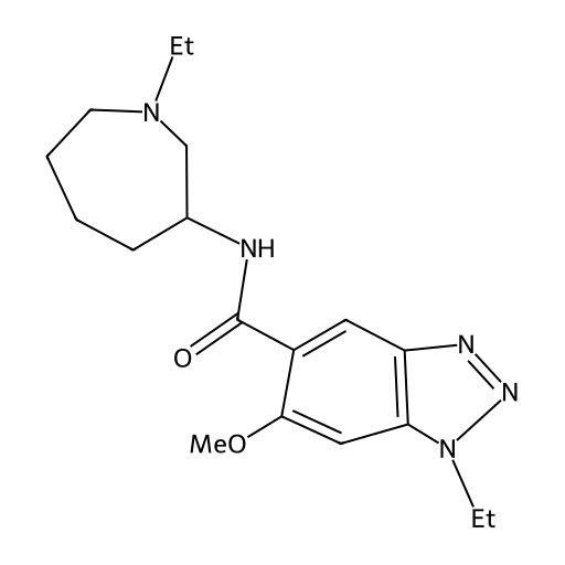 CCN1CCCCC(NC(=O)c2cc3nnn(CC)c3cc2OC)C1